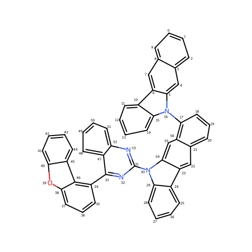 c1ccc2cc3c(cc2c1)c1ccccc1n3-c1cccc2cc3c4ccccc4n(-c4nc(-c5cccc6oc7ccccc7c56)c5ccccc5n4)c3cc12